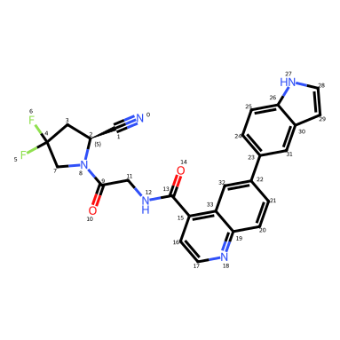 N#C[C@@H]1CC(F)(F)CN1C(=O)CNC(=O)c1ccnc2ccc(-c3ccc4[nH]ccc4c3)cc12